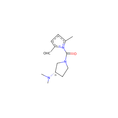 Cc1ccc(C=O)n1C(=O)N1CC[C@H](N(C)C)C1